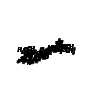 CC(C)(C)OC(=O)N1CCC[C@H]1c1ncc(-c2ccc3c(c2)OCc2c-3c(=O)oc3cc(-c4cnc([C@@H]5C[C@@H](F)CN5C(=O)OC(C)(C)C)[nH]4)ccc23)[nH]1